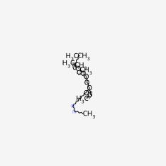 CCCCC/C=C\C/C=C\CCCCCCCCOCC(CN1CC[C@@H](C)C1)OCCOCCO[C@H]1CC[C@@]2(C)C(=CCC3C2CC[C@@]2(C)C3CC[C@@H]2[C@H](C)CCCC(C)C)C1